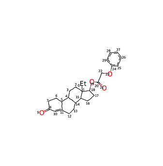 CCC12CCC3C4CCC(=O)C=C4CCC3C1CCC2OC(=O)COc1ccccc1